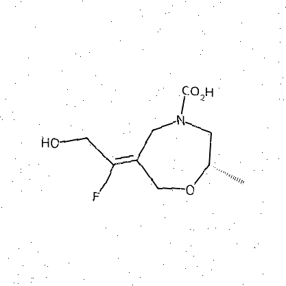 C[C@H]1CN(C(=O)O)CC(=C(F)CO)CO1